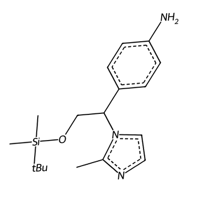 Cc1nccn1C(CO[Si](C)(C)C(C)(C)C)c1ccc(N)cc1